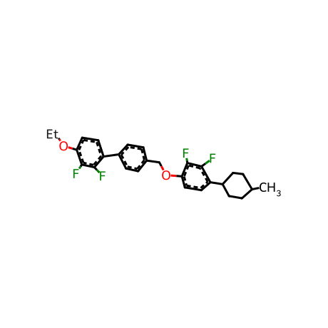 CCOc1ccc(-c2ccc(COc3ccc(C4CCC(C)CC4)c(F)c3F)cc2)c(F)c1F